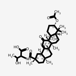 CC(=O)O[C@H]1CC[C@]2(C)[C@H]3C(=O)C=C4[C@@H]5C[C@@](C)(C(=O)NC(C(=O)O)C(C)O)CC[C@]5(C)CC[C@@]4(C)[C@]3(C)CC[C@H]2C1(C)C